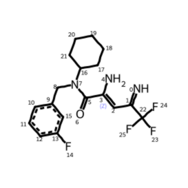 N=C(/C=C(\N)C(=O)N(Cc1cccc(F)c1)C1CCCCC1)C(F)(F)F